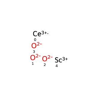 [Ce+3].[O-2].[O-2].[O-2].[Sc+3]